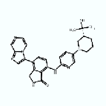 CC(C)(O)[C@@H]1CCCN(c2ccc(Nc3ccc(-c4cnc5cnccn45)c4c3C(=O)NC4)nc2)C1